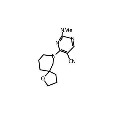 CNc1ncc(C#N)c(N2CCCC3(CCCO3)C2)n1